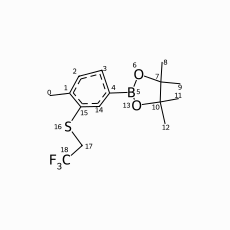 Cc1ccc(B2OC(C)(C)C(C)(C)O2)cc1SCC(F)(F)F